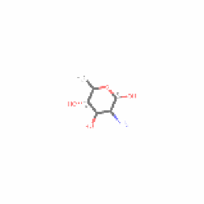 CC1O[C@@H](O)C(N)C(O)[C@@H]1O